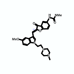 CNC(=O)Nc1ccc2c(c1)C(=O)/C(=C/c1cn(CCN3CCN(C)CC3)c3ccc(OC)cc13)O2